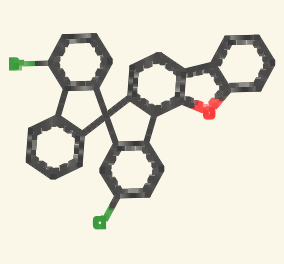 Clc1ccc2c(c1)C1(c3ccccc3-c3c(Br)cccc31)c1ccc3c(oc4ccccc43)c1-2